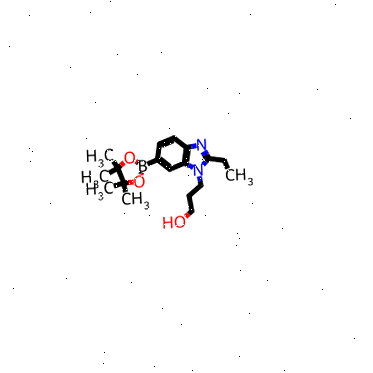 CCc1nc2ccc(B3OC(C)(C)C(C)(C)O3)cc2n1CCCO